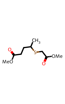 COC(=O)CCC(C)SCC(=O)OC